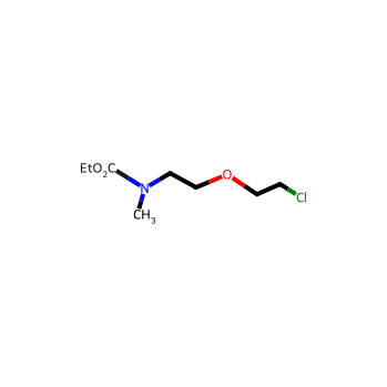 CCOC(=O)N(C)CCOCCCl